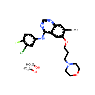 COc1cc2ncnc(Nc3ccc(F)c(Cl)c3)c2cc1OCCCN1CCOCC1.O=S(=O)(O)O.O=S(=O)(O)O